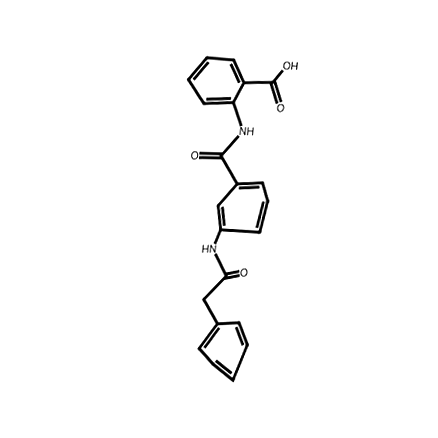 O=C(Cc1ccccc1)Nc1cccc(C(=O)Nc2ccccc2C(=O)O)c1